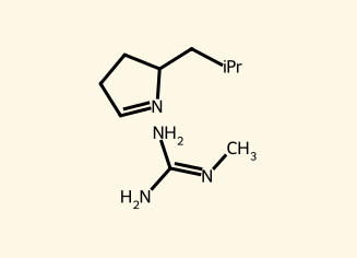 CC(C)CC1CCC=N1.CN=C(N)N